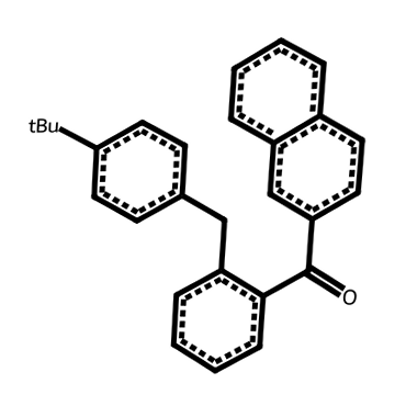 CC(C)(C)c1ccc(Cc2ccccc2C(=O)c2ccc3ccccc3c2)cc1